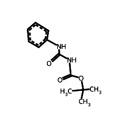 CC(C)(C)OC(=O)NC(=O)Nc1ccccc1